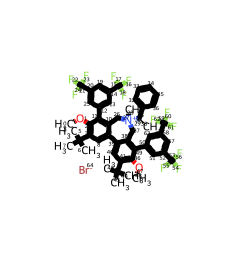 COc1c(C(C)(C)C)cc2c(c1-c1cc(C(F)(F)F)cc(C(F)(F)F)c1)C[N+](C)([C@@H](C)c1ccccc1)Cc1c-2cc(C(C)(C)C)c(OC)c1-c1cc(C(F)(F)F)cc(C(F)(F)F)c1.[Br-]